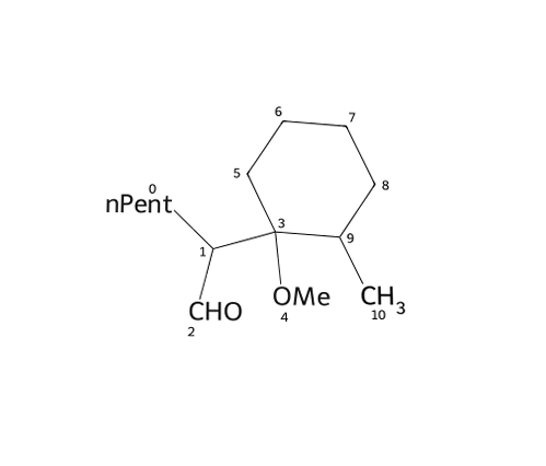 CCCCCC(C=O)C1(OC)CCCCC1C